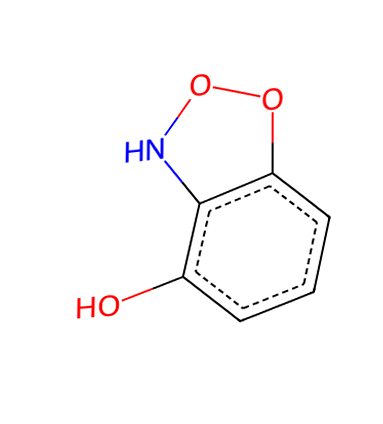 Oc1cccc2c1NOO2